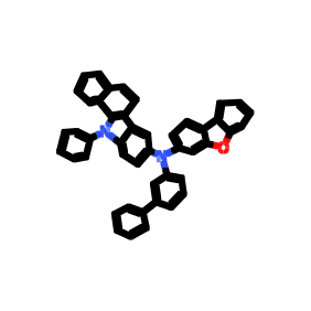 c1ccc(-c2cccc(N(c3ccc4c(c3)oc3ccccc34)c3ccc4c(c3)c3ccc5ccccc5c3n4-c3ccccc3)c2)cc1